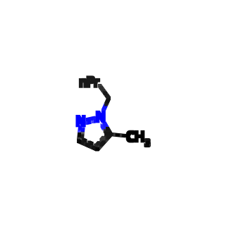 CCCCn1nccc1C